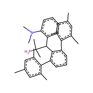 Cc1cc(C)c(-c2cccc(-c3c(C)cc(C)cc3C)c2C(c2ccccc2N(C)C)C(C)(C)P)c(C)c1